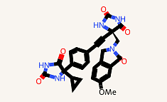 COc1ccc2c(c1)C(=O)N(C[C@@]1(C#Cc3ccc(C4(C5CC5)NC(=O)NC4=O)cc3)NC(=O)NC1=O)C2